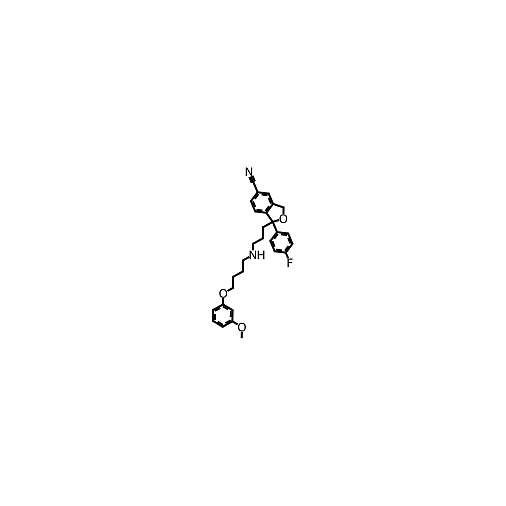 COc1cccc(OCCCCNCCCC2(c3ccc(F)cc3)OCc3cc(C#N)ccc32)c1